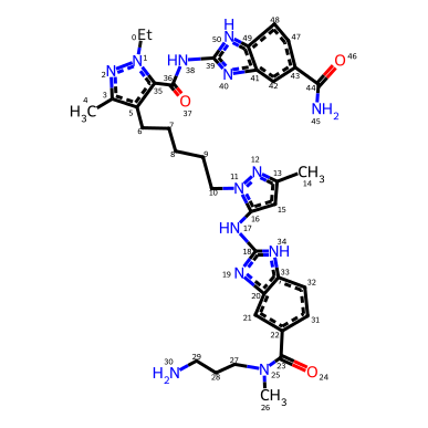 CCn1nc(C)c(CCCCCn2nc(C)cc2Nc2nc3cc(C(=O)N(C)CCCN)ccc3[nH]2)c1C(=O)Nc1nc2cc(C(N)=O)ccc2[nH]1